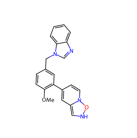 COc1ccc(Cn2cnc3ccccc32)cc1C1=CC2=CNON2C=C1